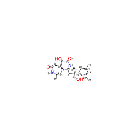 CCC(CO)(Cc1nc(=O)c(O)c2n1CC(C)N(C)C(=O)C2)c1cc(C)cc(C)c1